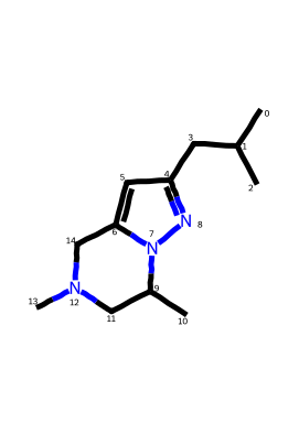 CC(C)Cc1cc2n(n1)C(C)CN(C)C2